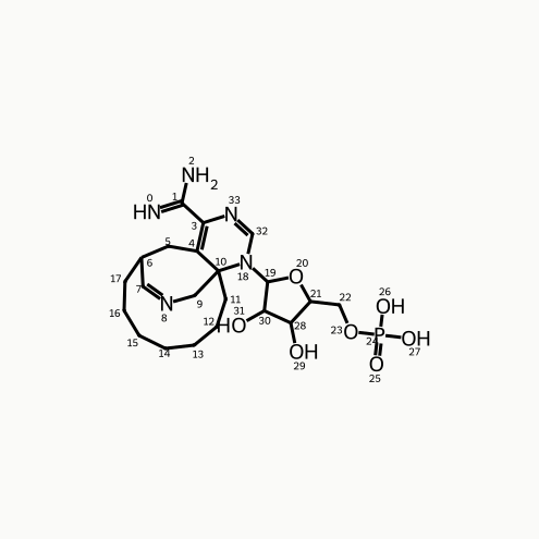 N=C(N)C1=C2CC3C=NCC2(CCCCCCC3)N(C2OC(COP(=O)(O)O)C(O)C2O)C=N1